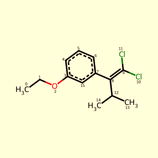 CCOc1cccc(C(=C(Cl)Cl)C(C)C)c1